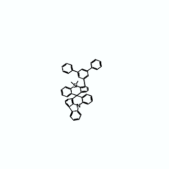 C[Si]1(C)c2ccccc2C2(c3ccccc3-n3c4ccccc4c4cccc2c43)c2cccc(-c3cc(-c4ccccc4)cc(-c4ccccc4)c3)c21